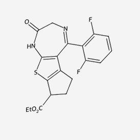 CCOC(=O)C1CCc2c1sc1c2C(c2c(F)cccc2F)=NCC(=O)N1